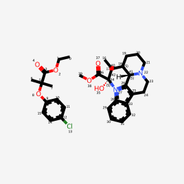 CCOC(=O)C(C)(C)Oc1ccc(Cl)cc1.CC[C@]12CCCN3CCc4c(n(c5ccccc45)[C@@](O)(C(=O)OC)C1)[C@@H]32